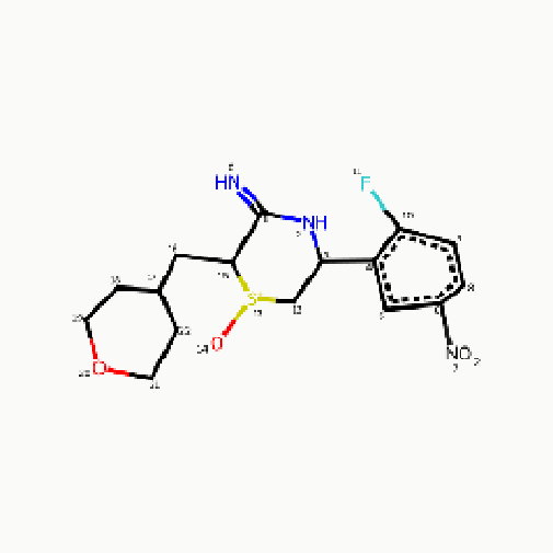 N=C1NC(c2cc([N+](=O)[O-])ccc2F)C[S+]([O-])C1CC1CCOCC1